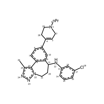 CCCN1CC=C(c2ccc3c(c2)C(Nc2cccc(Cl)c2)CCn2nnc(C)c2-3)CC1